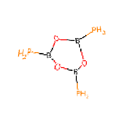 PB1OB(P)OB(P)O1